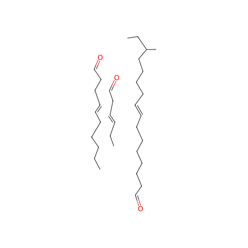 CCC(C)CCCCC=CCCCCCCC=O.CCC=CCC=O.CCCCCC=CCCC=O